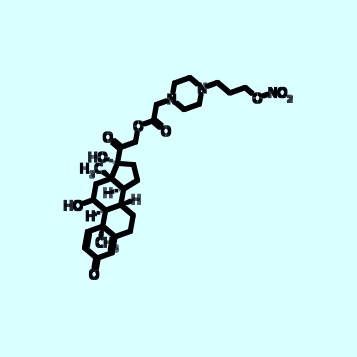 C[C@]12C=CC(=O)C=C1CC[C@@H]1[C@@H]2C(O)C[C@@]2(C)[C@H]1CC[C@]2(O)C(=O)COC(=O)CN1CCN(CCCO[N+](=O)[O-])CC1